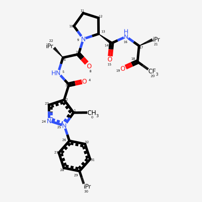 Cc1c(C(=O)N[C@H](C(=O)N2CCC[C@H]2C(=O)N[C@H](C(=O)C(F)(F)F)C(C)C)C(C)C)cnn1-c1ccc(C(C)C)cc1